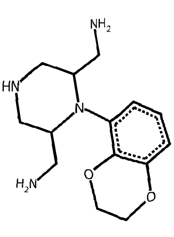 NCC1CNCC(CN)N1c1cccc2c1OCCO2